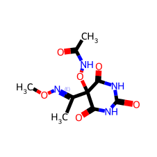 CO/N=C(\C)C1(ONC(C)=O)C(=O)NC(=O)NC1=O